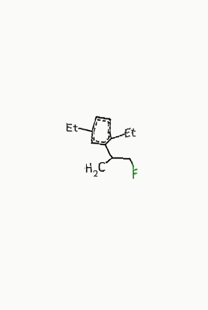 [CH2]C(CF)c1cc(CC)ccc1CC